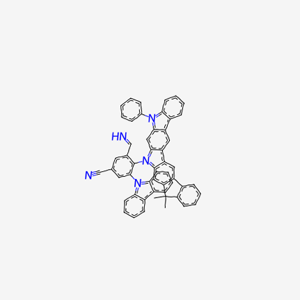 CC1(C)c2ccccc2-c2cc3c4cc5c6ccccc6n(-c6ccccc6)c5cc4n(-c4c(C=N)cc(C#N)cc4-n4c5ccccc5c5ccccc54)c3cc21